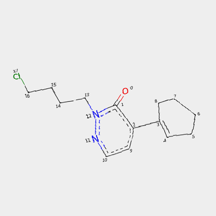 O=c1c(C2=CCCCC2)ccnn1CCCCCl